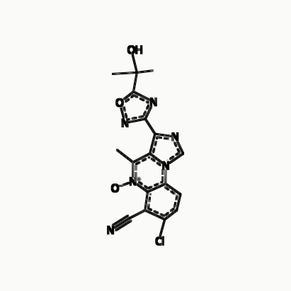 Cc1c2c(-c3noc(C(C)(C)O)n3)ncn2c2ccc(Cl)c(C#N)c2[n+]1[O-]